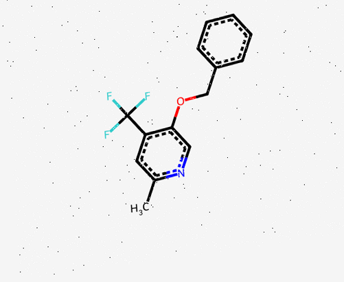 Cc1cc(C(F)(F)F)c(OCc2ccccc2)cn1